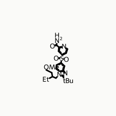 CCC(CCOC)Cn1c(C(C)(C)C)nc2cc(S(=O)(=O)c3ccnc(C(N)=O)c3)ccc21